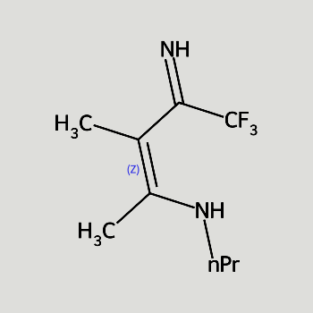 CCCN/C(C)=C(/C)C(=N)C(F)(F)F